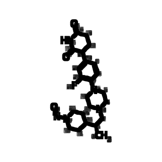 C[C@H](CN1CCN(c2ccc(C3CCC(=O)NC3=O)cc2F)CC1)C1CCN(N=O)CC1